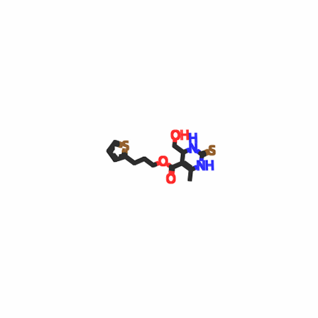 CC1=C(C(=O)OCCCc2cccs2)C(CO)NC(=S)N1